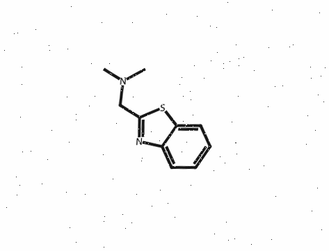 CN(C)Cc1nc2ccccc2s1